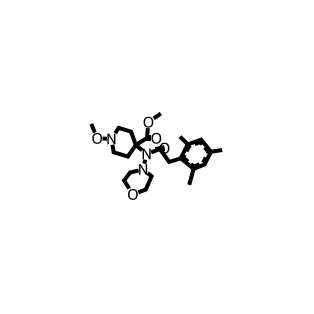 COC(=O)C1(N(C(=O)Cc2c(C)cc(C)cc2C)N2CCOCC2)CCN(OC)CC1